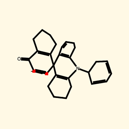 O=C1C2=C(CCCC2)C2(C3=C(CCC=C3)N(C3C=CC=CC3)C3=C2CCCC3)C2=C1CCCC2